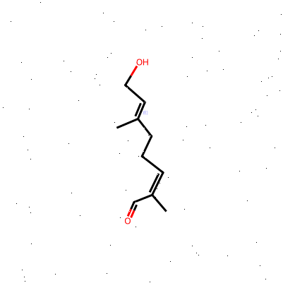 CC(C=O)=CCC/C(C)=C/CO